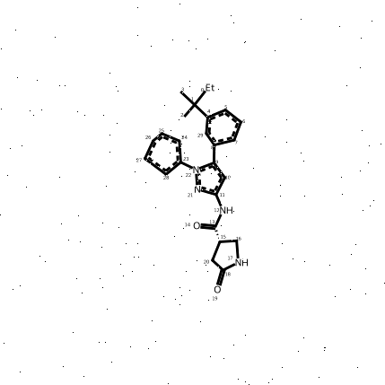 CCC(C)(C)c1cccc(-c2cc(NC(=O)[C@@H]3CNC(=O)C3)nn2-c2ccccc2)c1